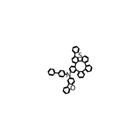 c1ccc(-c2ccc(N(c3ccc4oc5ccccc5c4c3)c3ccc4c(c3)c3ccccc3c3ccccc3c3ccccc3c3c4ccc4c5ccccc5sc43)cc2)cc1